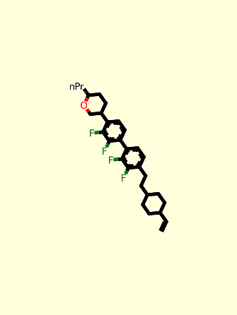 C=CC1CCC(CCc2ccc(-c3ccc(C4CCC(CCC)OC4)c(F)c3F)c(F)c2F)CC1